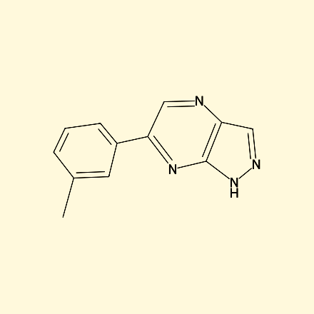 Cc1cccc(-c2cnc3cn[nH]c3n2)c1